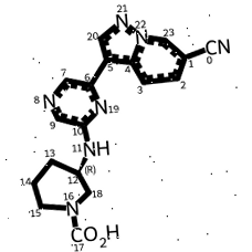 N#Cc1ccc2c(-c3cncc(N[C@@H]4CCCN(C(=O)O)C4)n3)cnn2c1